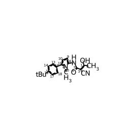 CC(O)=C(C#N)C(=O)Nc1ccc(-c2ccc(C(C)(C)C)cc2)n1C